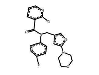 O=C(c1cccnc1Cl)N(Cc1csc(N2CCOCC2)n1)c1ccc(F)cc1